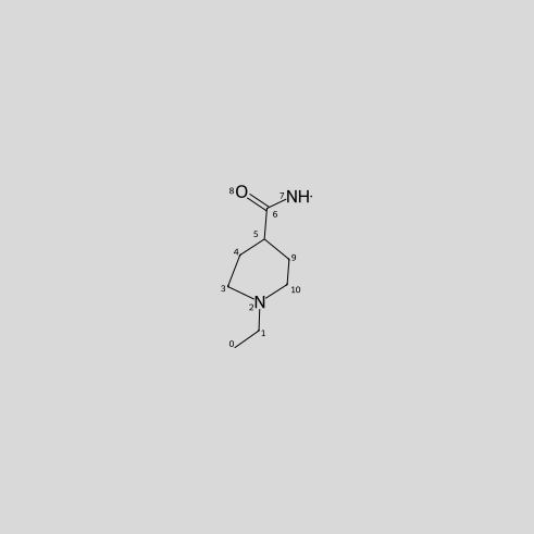 CCN1CCC(C([NH])=O)CC1